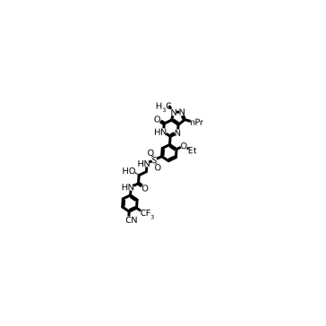 CCCc1nn(C)c2c(=O)[nH]c(-c3cc(S(=O)(=O)NC[C@@H](O)C(=O)Nc4ccc(C#N)c(C(F)(F)F)c4)ccc3OCC)nc12